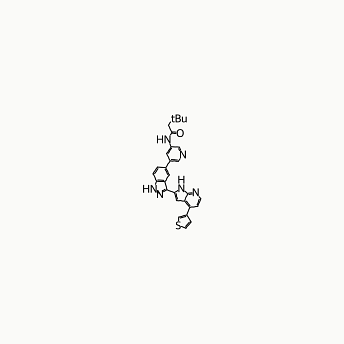 CC(C)(C)CC(=O)Nc1cncc(-c2ccc3[nH]nc(-c4cc5c(-c6ccsc6)ccnc5[nH]4)c3c2)c1